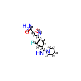 N=C(c1ccc(-c2cc(C(N)=O)on2)c(F)c1)N1CCCCC1